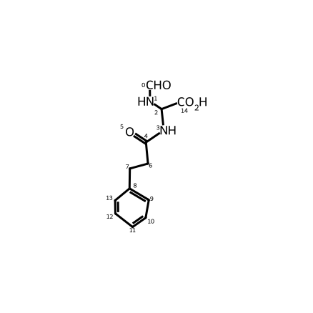 O=CNC(NC(=O)CCc1ccccc1)C(=O)O